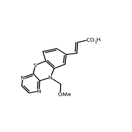 COCN1c2cc(/C=C/C(=O)O)ccc2Sc2nccnc21